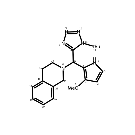 COc1cc[nH]c1C(c1nnnn1C(C)(C)C)N1CCc2ccccc2C1